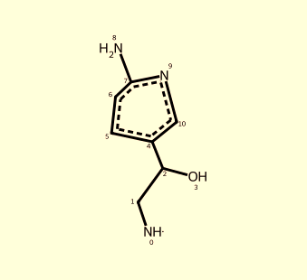 [NH]CC(O)c1ccc(N)nc1